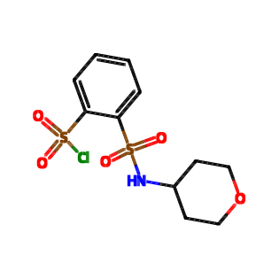 O=S(=O)(Cl)c1ccccc1S(=O)(=O)NC1CCOCC1